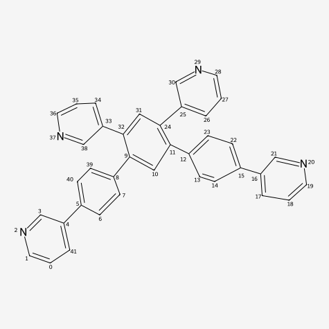 c1cncc(-c2ccc(-c3cc(-c4ccc(-c5cccnc5)cc4)c(-c4cccnc4)cc3-c3cccnc3)cc2)c1